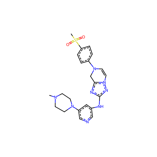 CN1CCN(c2cncc(Nc3nc4n(n3)C=CN(c3ccc(S(C)(=O)=O)cc3)C4)c2)CC1